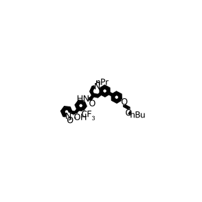 CCCCOCCOc1ccc(-c2ccc3c(c2)C=C(C(=O)Nc2ccc(C(O)c4cccc[n+]4[O-])c(C(F)(F)F)c2)CCN3CCC)cc1